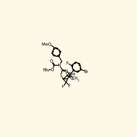 COC(=O)C12SC(N(Cc3ccc(OC)cc3)C(=O)OC(C)(C)C)=NC(C)(c3cc(Br)ccc3F)C1C2(F)F